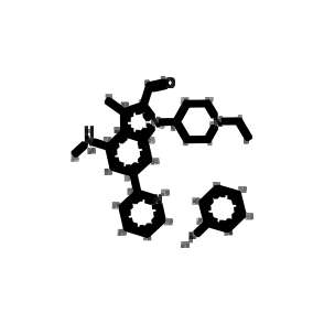 CCN1CCC(n2c(C=O)c(C)c3c(NC)cc(-c4ccccn4)cc32)CC1.Fc1ccccc1